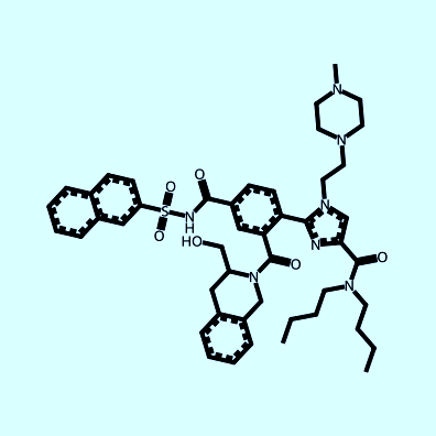 CCCCN(CCCC)C(=O)c1cn(CCN2CCN(C)CC2)c(-c2ccc(C(=O)NS(=O)(=O)c3ccc4ccccc4c3)cc2C(=O)N2Cc3ccccc3CC2CO)n1